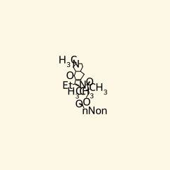 CCCCCCCCCC(=O)OCCC(C)(C)C(=O)n1c(C)c(CC)c2c1CC1CCN(C)CC1C2=O